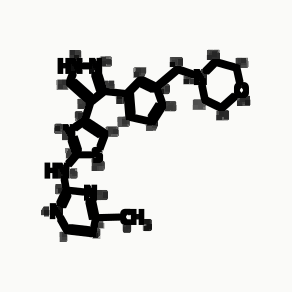 Cc1ccnc(Nc2nc(-c3c[nH]nc3-c3cccc(CN4CCOCC4)c3)cs2)n1